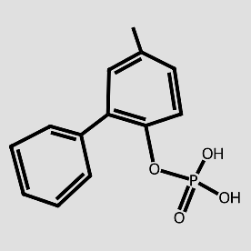 Cc1ccc(OP(=O)(O)O)c(-c2ccccc2)c1